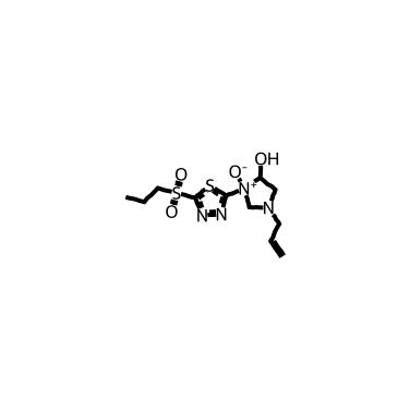 C=CCN1CC(O)[N+]([O-])(c2nnc(S(=O)(=O)CCC)s2)C1